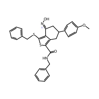 COc1ccc(C2C/C(=N\O)c3c(SCc4ccccc4)sc(C(=O)NCc4ccccc4)c3C2)cc1